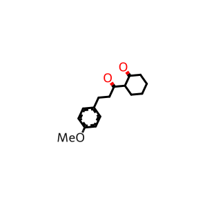 COc1ccc(CCC(=O)C2CCCCC2=O)cc1